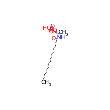 CCCCCCCCCCCCCCCCCC(=O)NC(C)COP(=O)(O)O